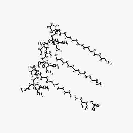 CCCCCCCCCCCCCCCCCC[N+]1(CC[Si](OCC)(OCC)OCC)CCCC1.CCCCCCCCCCCCCCCCCC[N+]1(CC[Si](OCC)(OCC)OCC)CCCC1.CCCCCCCCCCCCCCCCCC[N+]1(CC[Si](OCC)(OCC)OCC)CCCC1.[O-]B([O-])[O-]